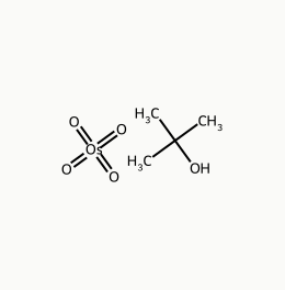 CC(C)(C)O.[O]=[Os](=[O])(=[O])=[O]